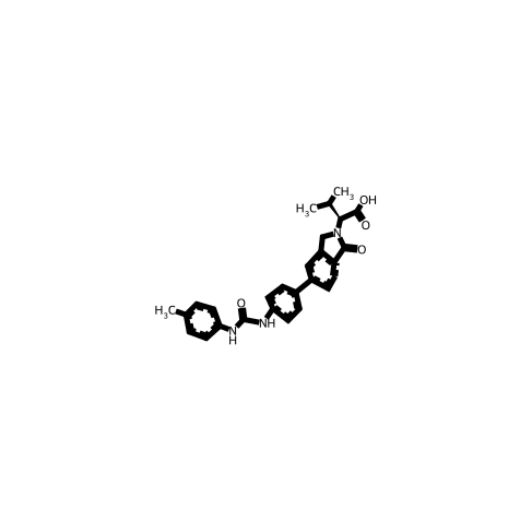 Cc1ccc(NC(=O)Nc2ccc(-c3ccc4c(c3)CN([C@H](C(=O)O)C(C)C)C4=O)cc2)cc1